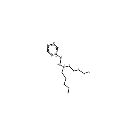 CCCCC[SiH](CCCCC)OOc1ccccc1